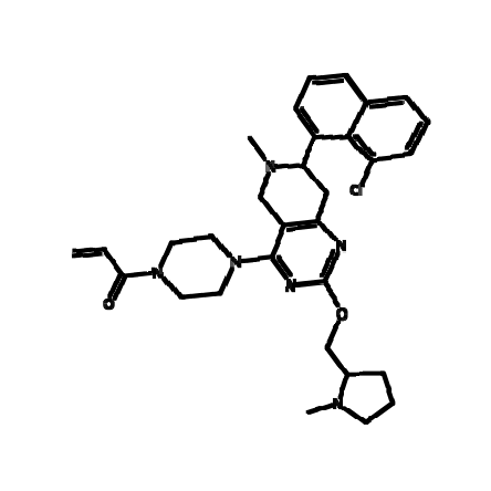 C=CC(=O)N1CCN(c2nc(OCC3CCCN3C)nc3c2CN(C)C(c2cccc4cccc(Cl)c24)C3)CC1